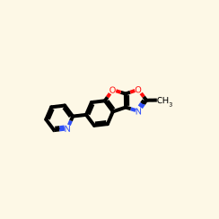 Cc1nc2c(o1)oc1cc(-c3ccccn3)ccc12